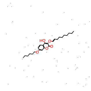 CCCCCCCC/C=C/Oc1c(O)c2ccc(OCCCCCC)cc2oc1=O